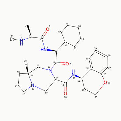 CCN[C@@H](C)C(=O)N[C@H](C(=O)N1C[C@H]2CCCN2CC1C(=O)N[C@@H]1CCOc2ccccc21)C1CCCCC1